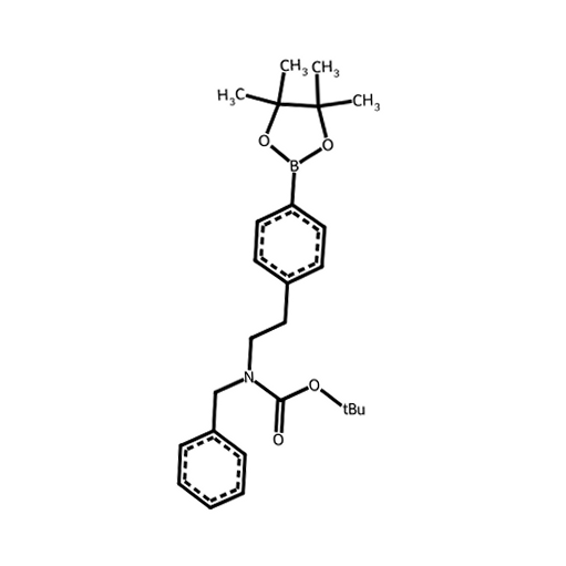 CC(C)(C)OC(=O)N(CCc1ccc(B2OC(C)(C)C(C)(C)O2)cc1)Cc1ccccc1